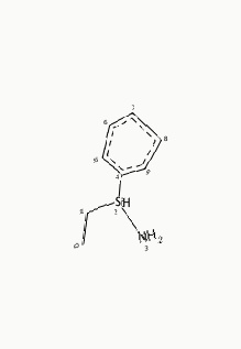 CC[SiH](N)c1ccccc1